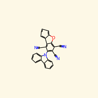 N#Cc1c(-n2c3ccccc3c3ccccc32)c(C#N)c2c(oc3ccccc32)c1C#N